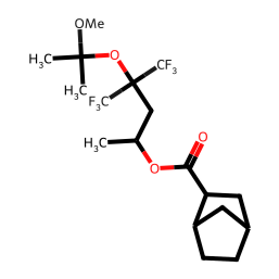 COC(C)(C)OC(CC(C)OC(=O)C1CC2CCC1C2)(C(F)(F)F)C(F)(F)F